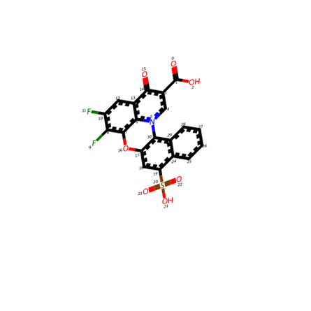 O=C(O)c1cn2c3c(c(F)c(F)cc3c1=O)Oc1cc(S(=O)(=O)O)c3ccccc3c1-2